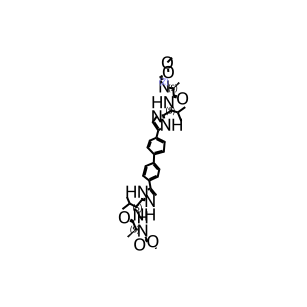 COO/C=N\[C@@H](C)C(=O)N[C@H](c1ncc(-c2ccc(-c3ccc(-c4cnc([C@@H](NC(=O)[C@H](C)NC(=O)OC)C(C)C)[nH]4)cc3)cc2)[nH]1)C(C)C